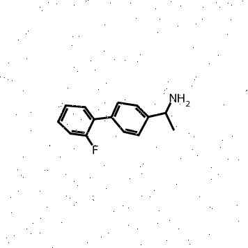 CC(N)c1ccc(-c2ccccc2F)cc1